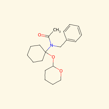 CC(=O)N(Cc1ccccc1)C1(OC2CCCCO2)CCCCC1